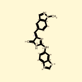 Cn1ncc2cc(/C=C3\N=C(Nc4ccc5ncsc5c4)NC3=O)ccc21